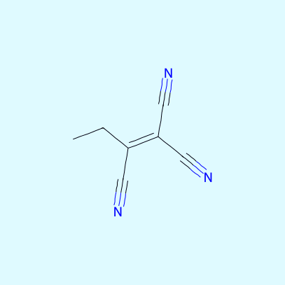 CCC(C#N)=C(C#N)C#N